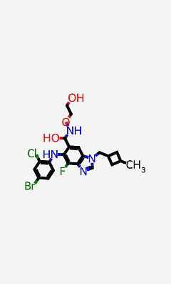 CC1CC(Cn2cnc3c(F)c(Nc4ccc(Br)cc4Cl)c(C(O)NOCCO)cc32)C1